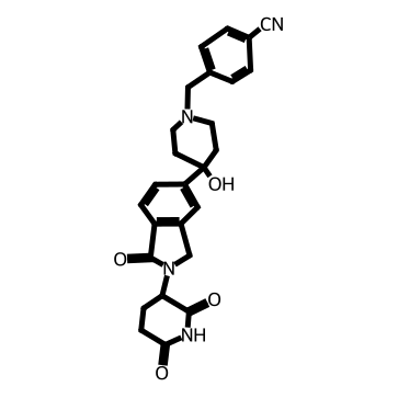 N#Cc1ccc(CN2CCC(O)(c3ccc4c(c3)CN(C3CCC(=O)NC3=O)C4=O)CC2)cc1